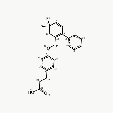 CC1(F)C=CC(c2ccccc2)=C(COc2ccc(CCC(=O)O)cc2)C1